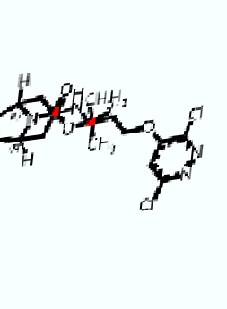 CC(C)(C)OC(=O)N1[C@@H]2CC[C@H]1C[C@H](NCCCOc1cc(Cl)nnc1Cl)C2